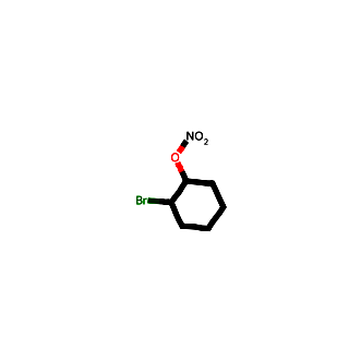 O=[N+]([O-])OC1CCCCC1Br